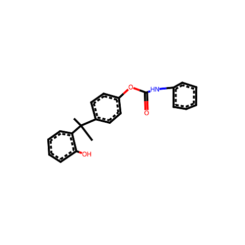 CC(C)(c1ccc(OC(=O)Nc2ccccc2)cc1)c1ccccc1O